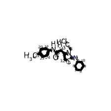 CCN1/C(=N/C2CCCCC2)SCC1CC(=O)Nc1ccc(C)cc1.Cl